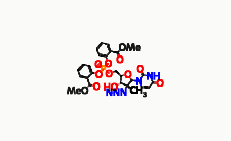 COC(=O)c1ccccc1OP(=O)(OC[C@H]1O[C@@H](n2ccc(=O)[nH]c2=O)[C@](C)(N=[N+]=[N-])[C@@H]1O)Oc1ccccc1C(=O)OC